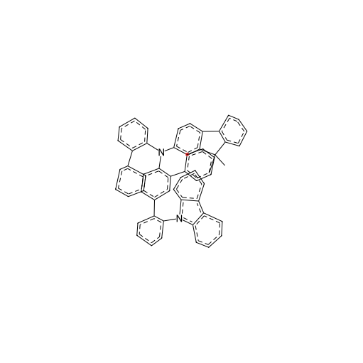 CC1(C)c2ccccc2-c2ccc(N(c3ccccc3-c3ccccc3)c3ccc(-c4ccccc4-n4c5ccccc5c5ccccc54)cc3-c3ccccc3)cc21